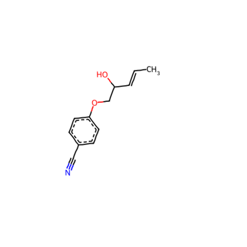 CC=CC(O)COc1ccc(C#N)cc1